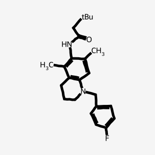 Cc1cc2c(c(C)c1NC(=O)CC(C)(C)C)CCCN2Cc1ccc(F)cc1